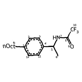 CCCCCCCCc1ccc(C(C)NC(=O)C(F)(F)F)cc1